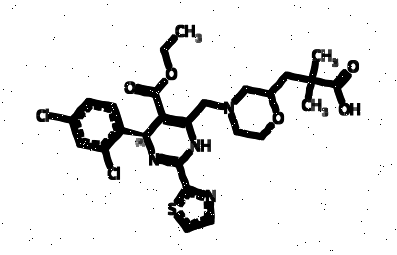 CCOC(=O)C1=C(CN2CCOC(CC(C)(C)C(=O)O)C2)NC(c2nccs2)=N[C@H]1c1ccc(Cl)cc1Cl